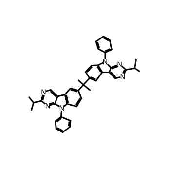 CC(C)c1ncc2c3cc(C(C)(C)c4ccc5c(c4)c4cnc(C(C)C)nc4n5-c4ccccc4)ccc3n(-c3ccccc3)c2n1